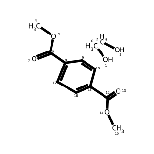 CO.CO.COC(=O)c1ccc(C(=O)OC)cc1